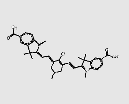 CC1CC(=CC=C2N(C)c3ccc(C(=O)O)cc3C2(C)C)C(Cl)=C(C=CC2=[N+](C)c3ccc(C(=O)O)cc3C2(C)C)C1